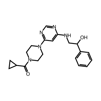 O=C(C1CC1)N1CCN(c2cc(NCC(O)c3ccccc3)ncn2)CC1